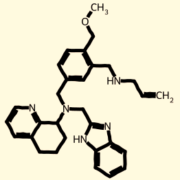 C=CCNCc1cc(CN(Cc2nc3ccccc3[nH]2)C2CCCc3cccnc32)ccc1COC